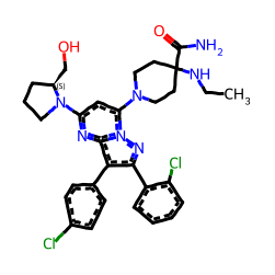 CCNC1(C(N)=O)CCN(c2cc(N3CCC[C@H]3CO)nc3c(-c4ccc(Cl)cc4)c(-c4ccccc4Cl)nn23)CC1